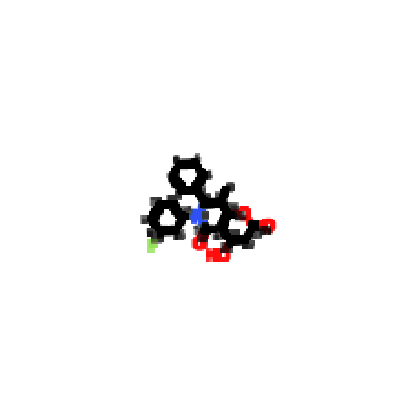 Cc1c(-c2ccccc2)n(-c2cccc(F)c2)c(=O)c2c(O)cc(=O)oc12